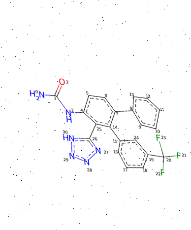 NC(=O)Nc1ccc(-c2ccccc2)c(-c2cccc(C(F)(F)F)c2)c1-c1nnn[nH]1